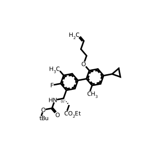 C=CCCOc1cc(C2CC2)cc(C)c1-c1cc(C)c(F)c([C@H](CC(=O)OCC)NC(=O)OC(C)(C)C)c1